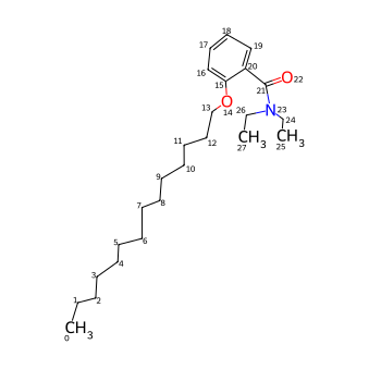 CCCCCCCCCCCCCCOc1ccccc1C(=O)N(CC)CC